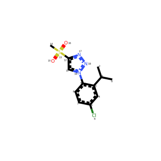 CC(C)c1cc(Cl)ccc1-n1cc(S(C)(=O)=O)nn1